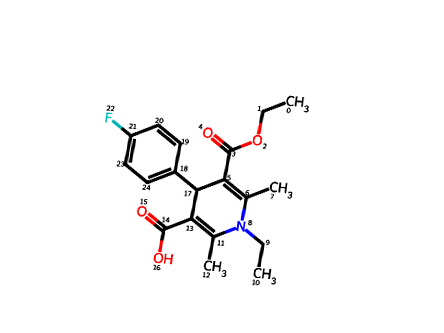 CCOC(=O)C1=C(C)N(CC)C(C)=C(C(=O)O)C1c1ccc(F)cc1